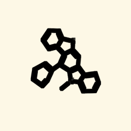 Cn1c2ccccc2c2cc3sc4ccccc4c3c(-c3ccccc3)c21